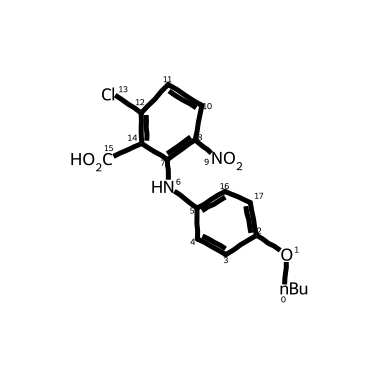 CCCCOc1ccc(Nc2c([N+](=O)[O-])ccc(Cl)c2C(=O)O)cc1